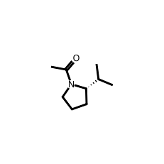 CC(=O)N1CCC[C@H]1C(C)C